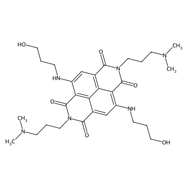 CN(C)CCCN1C(=O)c2cc(NCCCO)c3c4c(cc(NCCCO)c(c24)C1=O)C(=O)N(CCCN(C)C)C3=O